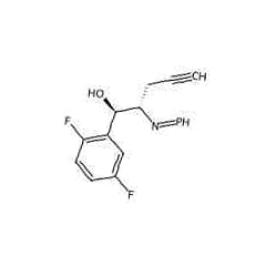 C#CC[C@H](N=P)[C@H](O)c1cc(F)ccc1F